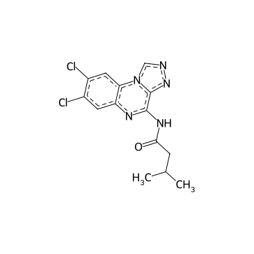 CC(C)CC(=O)Nc1nc2cc(Cl)c(Cl)cc2n2cnnc12